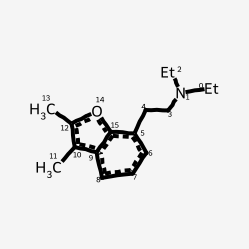 CCN(CC)CCc1cccc2c(C)c(C)oc12